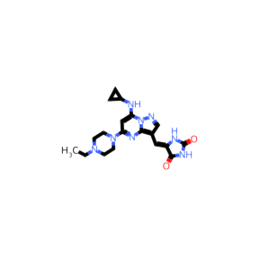 CCN1CCN(c2cc(NC3CC3)n3ncc(C=C4NC(=O)NC4=O)c3n2)CC1